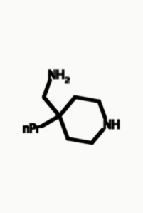 CCCC1(CN)CCNCC1